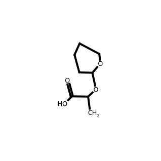 CC(OC1CCCCO1)C(=O)O